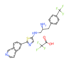 N[C@H](CNc1cnc(-c2ccc3cnccc3c2)s1)Cc1ccc(C(F)(F)F)cc1.O=C(O)C(F)(F)F